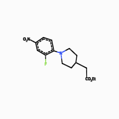 CCOC(=O)CC1CCN(c2ccc([N+](=O)[O-])cc2F)CC1